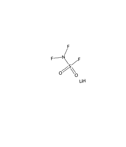 O=S(=O)(F)N(F)F.[LiH]